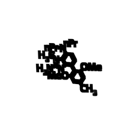 CCCN(CCC)c1ccc(-c2c(OC)cc(C)cc2OC)c2nc(N)n(C)c12